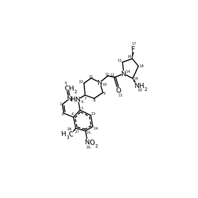 C=N/C=C\c1c(NC2CCN(CC(=O)N3C[C@@H](F)C[C@H]3N)CC2)ccc([N+](=O)[O-])c1C